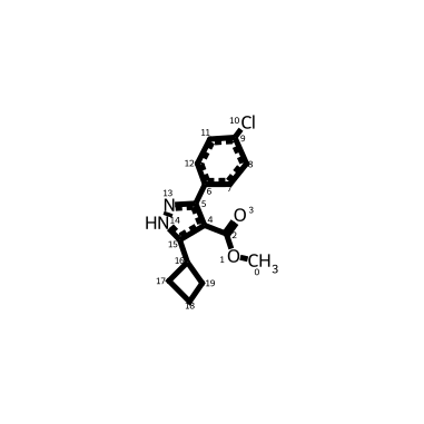 COC(=O)c1c(-c2ccc(Cl)cc2)n[nH]c1C1CCC1